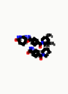 CC1CCN(C(=O)c2ccc(C(N)=O)cc2)CC(C)(C)C1.NC(=O)c1ccc(C(=O)N2CCCCCC2)cc1.O=C1CCCCCN1